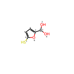 OB(O)c1ccc(S)o1